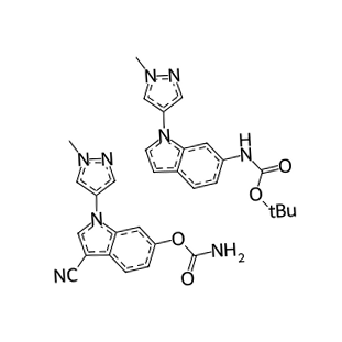 Cn1cc(-n2cc(C#N)c3ccc(OC(N)=O)cc32)cn1.Cn1cc(-n2ccc3ccc(NC(=O)OC(C)(C)C)cc32)cn1